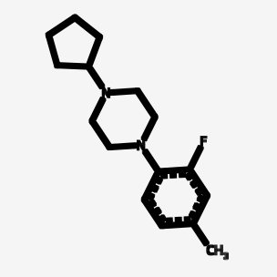 Cc1ccc(N2CCN(C3CCCC3)CC2)c(F)c1